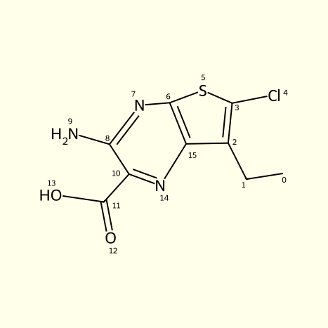 CCc1c(Cl)sc2nc(N)c(C(=O)O)nc12